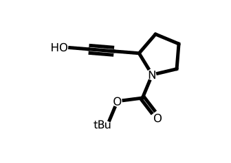 CC(C)(C)OC(=O)N1CCCC1C#CO